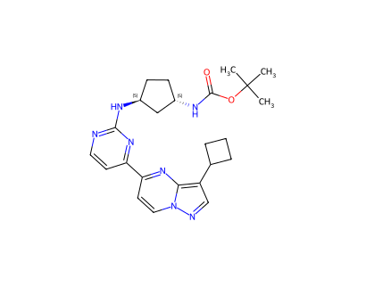 CC(C)(C)OC(=O)N[C@H]1CC[C@H](Nc2nccc(-c3ccn4ncc(C5CCC5)c4n3)n2)C1